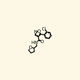 O=C(NCC1CCCO1)c1cnoc1-c1ccccc1Cl